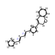 C1=C(c2ccc(/C=C/C=C/c3cccs3)s2)COc2ccccc21